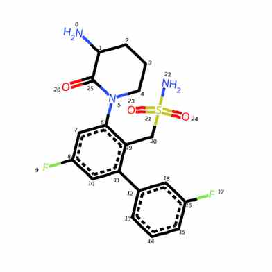 NC1CCCN(c2cc(F)cc(-c3cccc(F)c3)c2CS(N)(=O)=O)C1=O